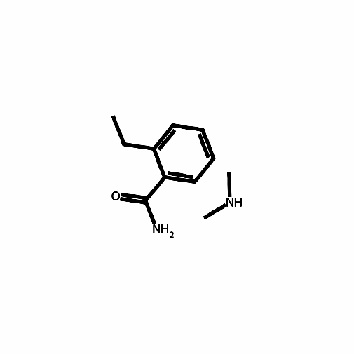 CCc1ccccc1C(N)=O.CNC